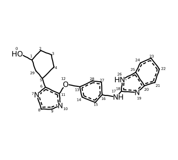 OC1CCCC(c2nccnc2Oc2ccc(Nc3nc4ccccc4[nH]3)cc2)C1